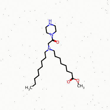 CCCCCCCCCN(CCCCCCCC(=O)OC)CC(=O)N1CCNCC1